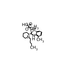 CCCCN1CCCC[C@H]1C(=O)Nc1c(C)cccc1C.O=S(=O)(O)O